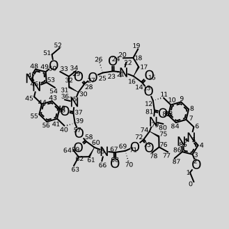 CCOc1cn(Cc2ccc(C[C@H]3OC(=O)[C@H](CC(C)C)N(C)C(=O)[C@@H](C)OC(=O)[C@H](CC(C)C)N(C)C(=O)[C@@H](Cc4ccc(Cn5ncc(OCC)c5C)cc4)OC(=O)[C@H](CC(C)C)N(C)C(=O)[C@@H](C)OC(=O)[C@H](CC(C)C)N(C)C3=O)cc2)nc1C